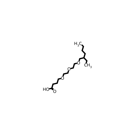 CCCCC(CC)COCCOCCOCCCC(=O)O